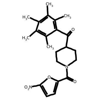 Cc1c(C)c(C)c(C(=O)C2CCN(C(=O)c3ccc([N+](=O)[O-])o3)CC2)c(C)c1C